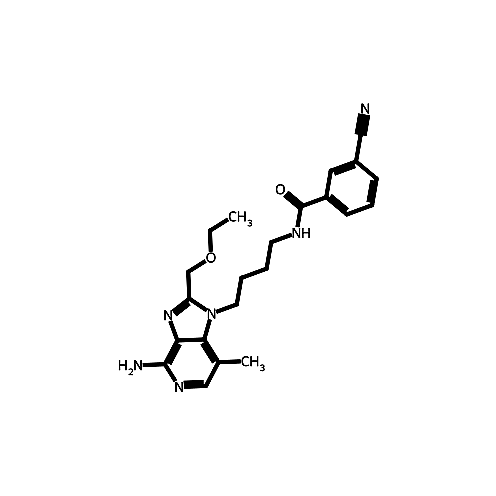 CCOCc1nc2c(N)ncc(C)c2n1CCCCNC(=O)c1cccc(C#N)c1